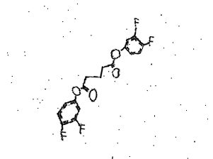 O=C(CCCC(=O)Oc1ccc(F)c(F)c1)Oc1ccc(F)c(F)c1